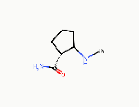 CC(C)NC1CCC[C@H]1C(N)=O